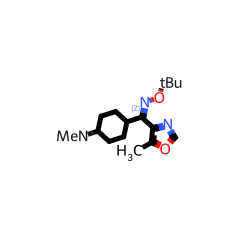 CNC1CCC(/C(=N/OC(C)(C)C)c2ncoc2C)CC1